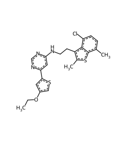 CCOc1csc(-c2cc(NCCc3c(C)sc4c(C)ccc(Cl)c34)ncn2)c1